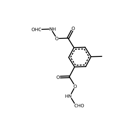 Cc1cc(C(=O)ONC=O)cc(C(=O)ONC=O)c1